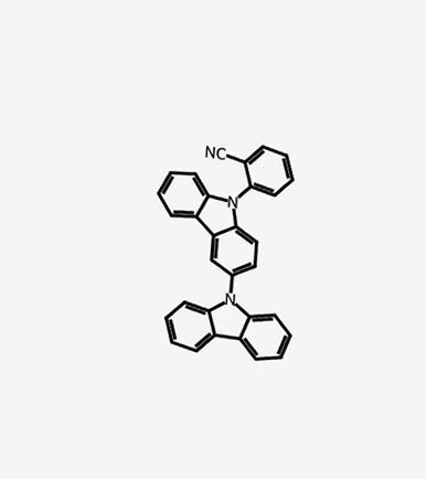 N#Cc1ccccc1-n1c2ccccc2c2cc(-n3c4ccccc4c4ccccc43)ccc21